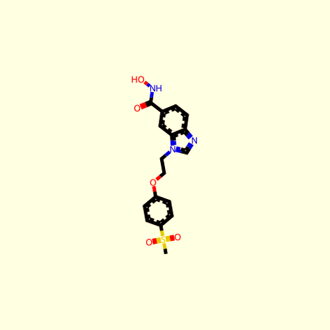 CS(=O)(=O)c1ccc(OCCn2cnc3ccc(C(=O)NO)cc32)cc1